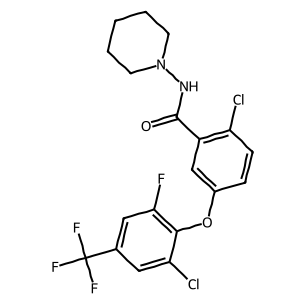 O=C(NN1CCCCC1)c1cc(Oc2c(F)cc(C(F)(F)F)cc2Cl)ccc1Cl